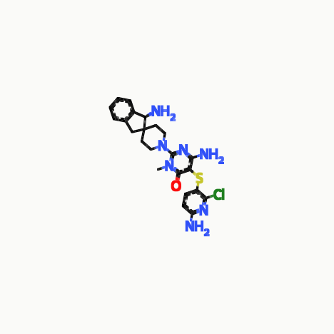 Cn1c(N2CCC3(CC2)Cc2ccccc2[C@H]3N)nc(N)c(Sc2ccc(N)nc2Cl)c1=O